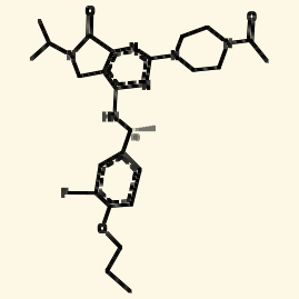 CCCOc1ccc([C@@H](C)Nc2nc(N3CCN(C(C)=O)CC3)nc3c2CN(C(C)C)C3=O)cc1F